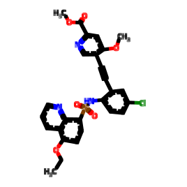 CCOc1ccc(S(=O)(=O)Nc2ccc(Cl)cc2C#Cc2cnc(C(=O)OC)cc2OC)c2ncccc12